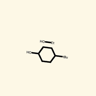 CC(C)(C)C1CCC(O)CC1.CCO